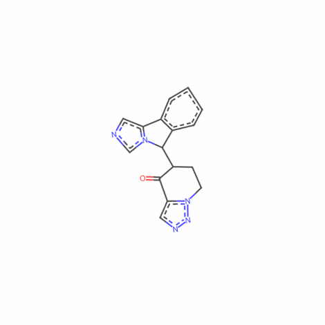 O=C1c2cnnn2CCC1C1c2ccccc2-c2cncn21